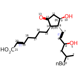 CCCCC(C)CC(O)/C=C/[C@H]1[C@H](O)CC(=O)[C@@H]1CCCC/C=C/C(=O)O